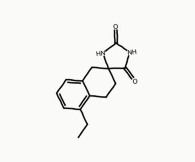 CCc1cccc2c1CCC1(C2)NC(=O)NC1=O